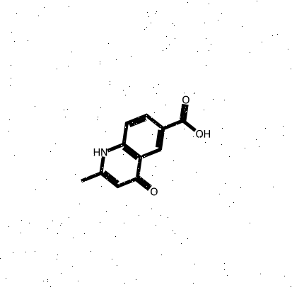 Cc1cc(=O)c2cc(C(=O)O)ccc2[nH]1